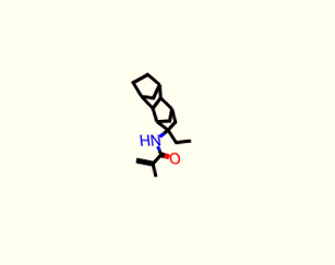 C=C(C)C(=O)NC1(CC)CC2CC1C1C3CCC(C3)C21